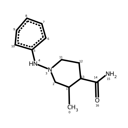 CC1CN(Nc2ccccc2)CCC1C(N)=O